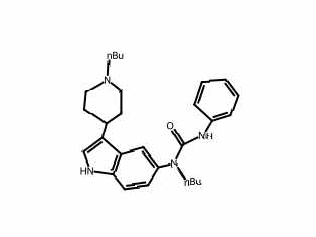 CCCCN1CCC(c2c[nH]c3ccc(N(CCCC)C(=O)Nc4ccccc4)cc23)CC1